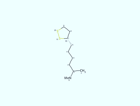 CNC(C)CCCC[C@H]1CCSS1